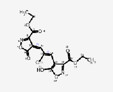 CCOC(=O)C1=NOC(=O)/C1=C\C(Cl)=C\c1c(C(=O)OCC)noc1O